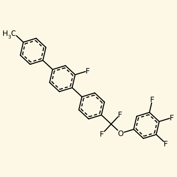 Cc1ccc(-c2ccc(-c3ccc(C(F)(F)Oc4cc(F)c(F)c(F)c4)cc3)c(F)c2)cc1